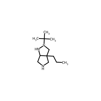 CCCC12CNCC1NN(C(C)(C)C)C2